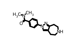 CN(C)C(=O)c1ccc(-n2cc3c(n2)CCNCC3)cc1